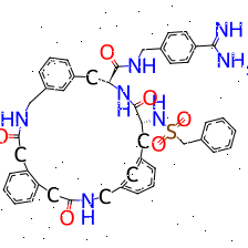 N=C(N)c1ccc(CNC(=O)[C@@H]2Cc3cccc(c3)CNC(=O)Cc3ccccc3CC(=O)NCc3cccc(c3)C[C@@H](NS(=O)(=O)Cc3ccccc3)C(=O)N2)cc1